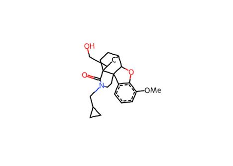 COc1cccc2c1OC1C3CCC4(C(=O)N(CC5CC5)CCC214)C(CO)C3